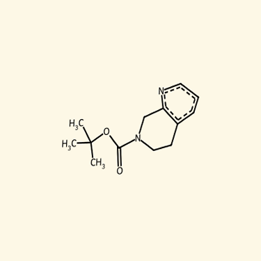 CC(C)(C)OC(=O)N1CCc2cccnc2C1